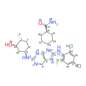 C[C@@H]1CC[C@@H](Nc2ncc3nc(Nc4c(F)cc(Cl)cc4Cl)n([C@H]4CC[C@H](C(N)=O)CC4)c3n2)C[C@H]1O